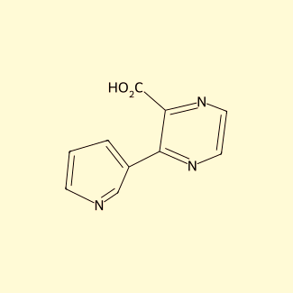 O=C(O)c1nccnc1-c1cccnc1